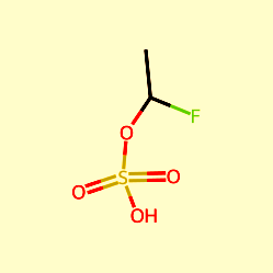 CC(F)OS(=O)(=O)O